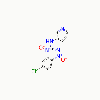 [O-][n+]1nc(Nc2cccnc2)[n+]([O-])c2cc(Cl)ccc21